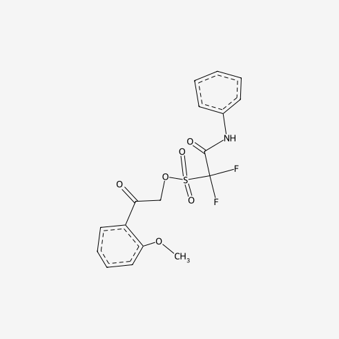 COc1ccccc1C(=O)COS(=O)(=O)C(F)(F)C(=O)Nc1ccccc1